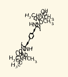 COC(=O)N[C@H](C(=O)N1C[C@@H](C)C[C@H]1c1nc(I)c(C#Cc2ccc(C#Cc3[nH]c([C@@H]4C[C@H](C)CN4C(=O)[C@@H](NC(=O)O)C(C)C)nc3I)cc2)[nH]1)C(C)C